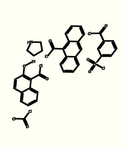 C1CCNC1.CCOc1ccc2ccccc2c1C(=O)Cl.O=C(Cl)Cl.O=C(Cl)c1c2ccccc2cc2ccccc12.O=C(Cl)c1cccc(S(=O)(=O)Cl)c1